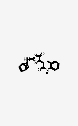 Cc1ccccc1N(C)C(=O)CC1SC(NC2CC3C=CC2C3)=NC1=O